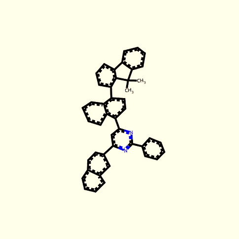 CC1(C)c2ccccc2-c2cccc(-c3ccc(-c4cc(-c5ccc6ccccc6c5)nc(-c5ccccc5)n4)c4ccccc34)c21